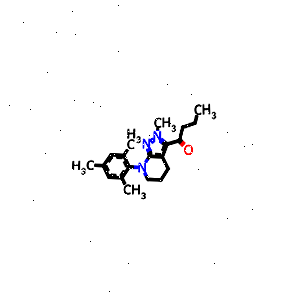 CCCC(=O)c1c2c(nn1C)N(c1c(C)cc(C)cc1C)CCC2